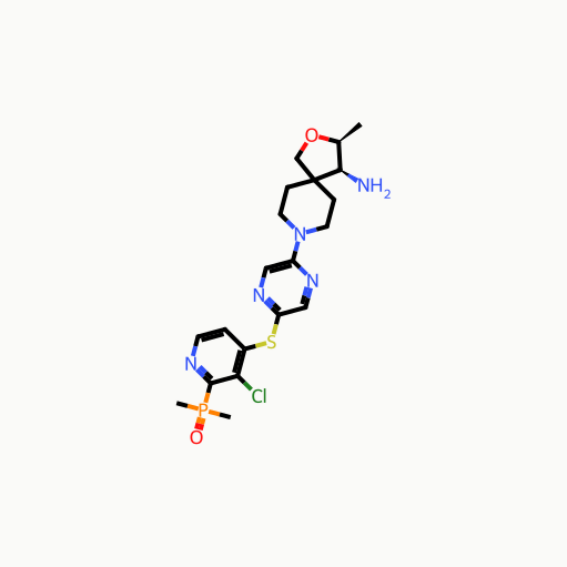 C[C@@H]1OCC2(CCN(c3cnc(Sc4ccnc(P(C)(C)=O)c4Cl)cn3)CC2)[C@@H]1N